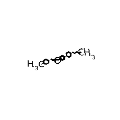 CCCCC[C@H]1CC[C@H](c2ccc(OCCC[C@H]3CC[C@H](C)CC3)cc2)CC1